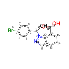 CC(c1ccc(Br)cc1)n1ncc2cccc(C(=O)O)c21